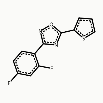 Fc1ccc(-c2noc(-c3cccs3)n2)c(F)c1